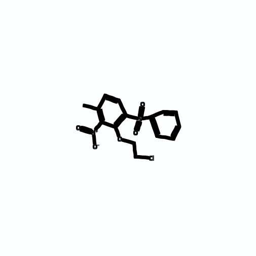 Cc1ccc(S(=O)(=O)c2ccccc2)c(OCCCl)c1[N+](=O)[O-]